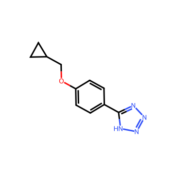 c1cc(-c2nnn[nH]2)ccc1OCC1CC1